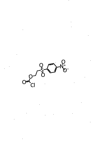 O=C(Cl)OCCS(=O)(=O)c1ccc([N+](=O)[O-])cc1